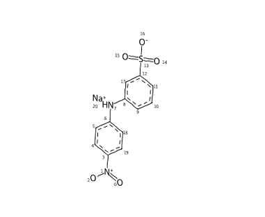 O=[N+]([O-])c1ccc(Nc2cccc(S(=O)(=O)[O-])c2)cc1.[Na+]